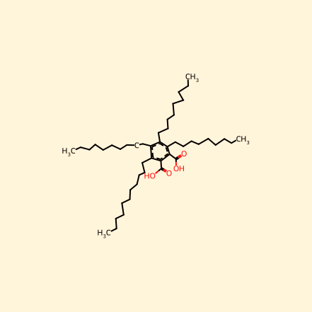 CCCCCCCCCCCc1c(CCCCCCCCCC)c(CCCCCCCCC)c(CCCCCCCCC)c(C(=O)O)c1C(=O)O